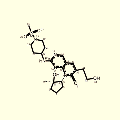 C[C@@]1(O)CCC[C@H]1n1c(=O)c(CCO)cc2cnc(NC3CCN(S(C)(=O)=O)CC3)nc21